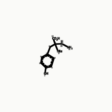 CCCCC(Cc1ccc(O)cc1)(NN)C(=O)O